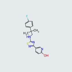 CC(C)(CNc1nc(-c2ccc(O)nc2)ns1)c1ccc(F)cc1